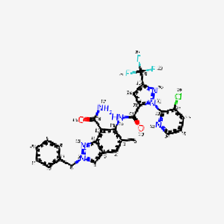 Cc1cc2cn(Cc3ccccc3)nc2c(C(N)=O)c1NC(=O)c1cc(C(F)(F)F)nn1-c1ncccc1Cl